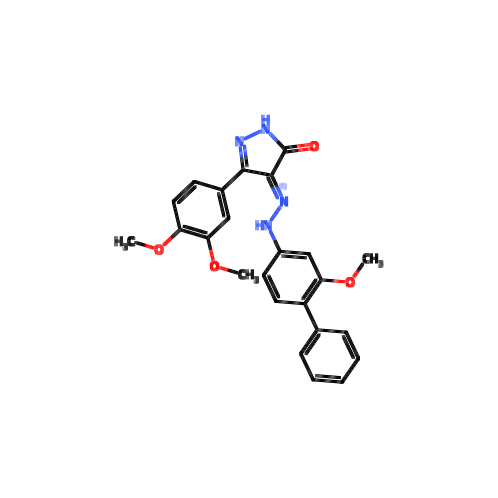 COc1ccc(C2=NNC(=O)/C2=N/Nc2ccc(-c3ccccc3)c(OC)c2)cc1OC